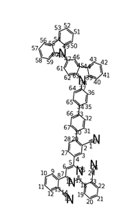 N#Cc1cc(-c2cc(-c3ccccc3C#N)nc(-c3ccccc3C#N)n2)ccc1-c1ccc(-c2ccc(-n3c4ccccc4c4cc(-n5c6ccccc6c6ccccc65)ccc43)cc2)cc1